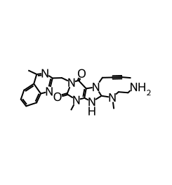 CC#CCN1c2c(n(C)c(=O)n(Cc3nc(C)c4ccccc4n3)c2=O)NC1N(C)CCN